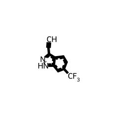 C#Cc1n[nH]c2cc(C(F)(F)F)ccc12